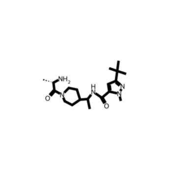 CC(NC(=O)c1cc(C(C)(C)C)nn1C)C1CCN(C(=O)[C@H](C)N)CC1